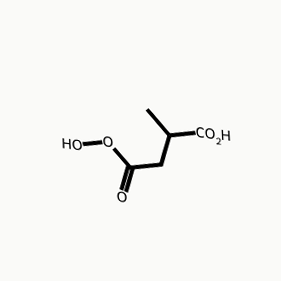 CC(CC(=O)OO)C(=O)O